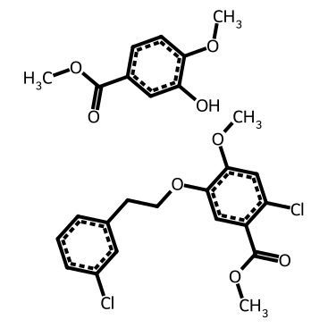 COC(=O)c1cc(OCCc2cccc(Cl)c2)c(OC)cc1Cl.COC(=O)c1ccc(OC)c(O)c1